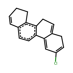 ClC1=CCC2=CCc3c(ccc4c3CCC=C4)C2=C1